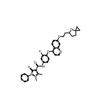 Cc1c(C(=O)Nc2ccc(Oc3ccnc4cc(OCCC5CCC6(CC6)O5)ccc34)c(F)c2)c(=O)n(-c2ccccc2)n1C